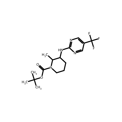 CC1C(Nc2ncc(C(F)(F)F)cn2)CCCN1C(=O)OC(C)(C)C